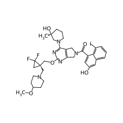 COC1CCN(C[C@@]2(COc3nc4c(c(N5CCC[C@@](C)(O)C5)n3)CN(C(=O)c3cc(O)cc5cccc(I)c35)C4)CC2(F)F)CC1